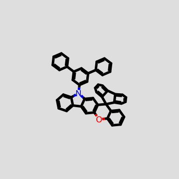 c1ccc(-c2cc(-c3ccccc3)cc(-n3c4ccccc4c4cc5c(cc43)C3(c4ccccc4O5)c4ccccc4-c4ccccc43)c2)cc1